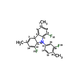 CC1=CC2c3cc(C)cc(F)c3N(c3ccc(C)c(F)c3)C2C(F)=C1